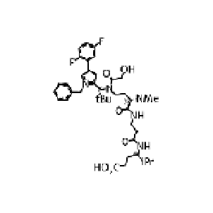 CN[C@@H](CCN(C(=O)CO)[C@@H](c1cc(-c2cc(F)ccc2F)cn1Cc1ccccc1)C(C)(C)C)C(=O)NCCC(=O)N[C@H](CCC(=O)O)C(C)C